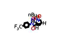 CCCCS(=O)(=O)N1C[C@H]2CC[C@@H]1[C@H](C(=O)Nc1ccc(C(F)(F)F)cc1)C2